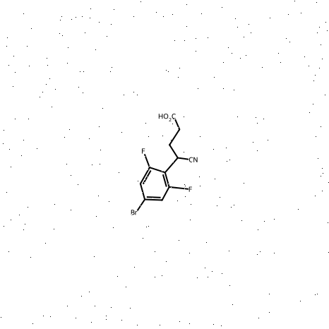 N#CC(CCC(=O)O)c1c(F)cc(Br)cc1F